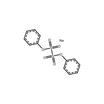 O=S(=O)(Oc1ccccc1)S(=O)(=O)Oc1ccccc1.[Na]